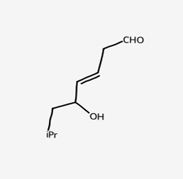 CC(C)CC(O)C=CCC=O